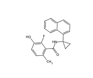 Cc1ccc(O)c(F)c1C(=O)NC1(c2cccc3ccccc23)CC1